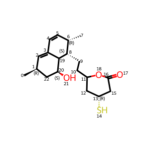 C[C@H]1C=C2C=C[C@H](C)[C@H](CCC3C[C@@H](S)CC(=O)O3)C2[C@@H](O)C1